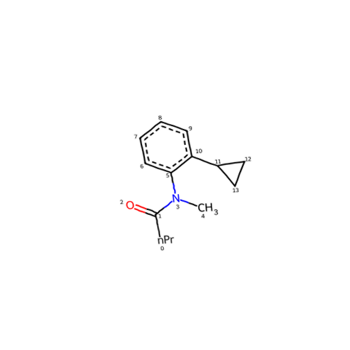 CCCC(=O)N(C)c1ccccc1C1CC1